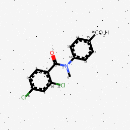 CN(C(=O)c1ccc(Cl)cc1Cl)c1ccc(C(=O)O)cc1